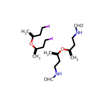 C=C(CCI)OC(=C)CCI.C=C(CCNC=O)OC(=C)CCNC=O